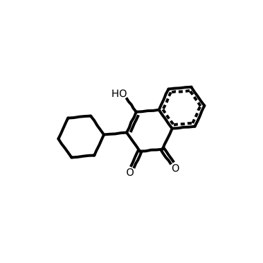 O=C1C(=O)c2ccccc2C(O)=C1C1CCCCC1